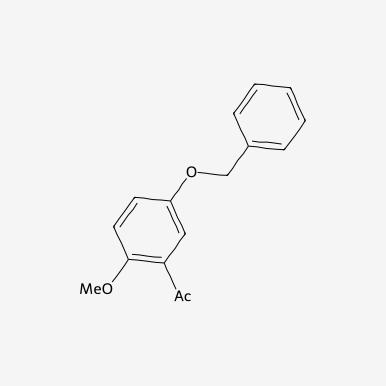 COc1ccc(OCc2ccccc2)cc1C(C)=O